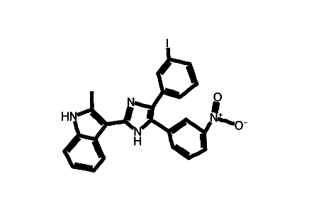 Cc1[nH]c2ccccc2c1-c1nc(-c2cccc(I)c2)c(-c2cccc([N+](=O)[O-])c2)[nH]1